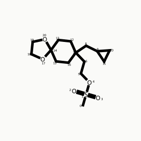 CS(=O)(=O)OCCC1(CC2CC2)CCC2(CC1)OCCO2